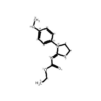 CCOC(=O)/N=C1\SCCN1c1ccc(OC)cc1